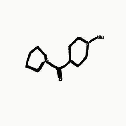 CC(C)(C)N1CCC(C(=O)N2CCCCC2)CC1